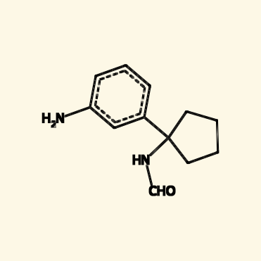 Nc1cccc(C2(NC=O)CCCC2)c1